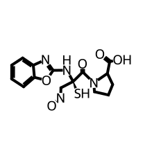 O=NC[C@](S)(Nc1nc2ccccc2o1)C(=O)N1CCCC1C(=O)O